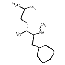 CNC(CC1CCCCC1)C(O)CCC(C)C